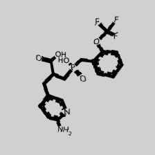 Nc1ccc(CC(CP(=O)(O)Cc2ccccc2OC(F)(F)F)C(=O)O)cn1